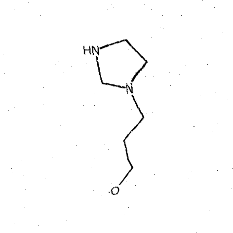 [O]CCCN1CCNC1